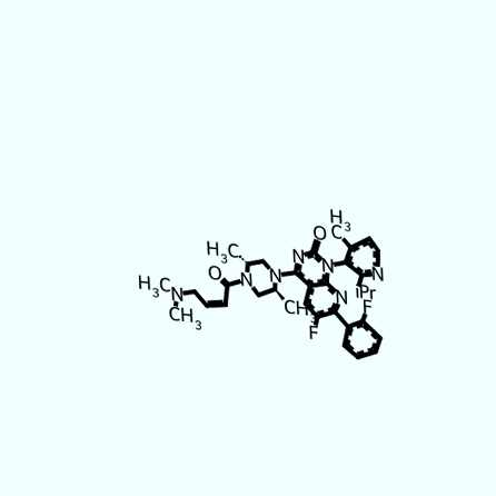 Cc1ccnc(C(C)C)c1-n1c(=O)nc(N2C[C@@H](C)N(C(=O)/C=C\CN(C)C)C[C@@H]2C)c2cc(F)c(-c3ccccc3F)nc21